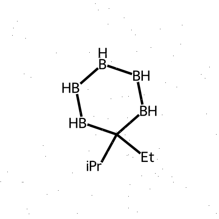 CCC1(C(C)C)BBBBB1